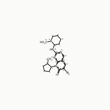 CC1CCCC1n1c(=O)c(Br)cc2cnc(NC3CCCCN3C(=O)O)nc21